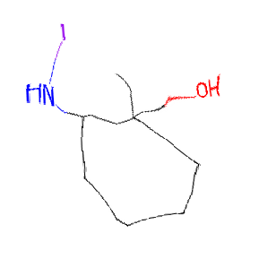 CC1(O)CCCCC1NI